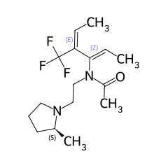 C/C=C(/C(=C\C)C(F)(F)F)N(CCN1CCC[C@@H]1C)C(C)=O